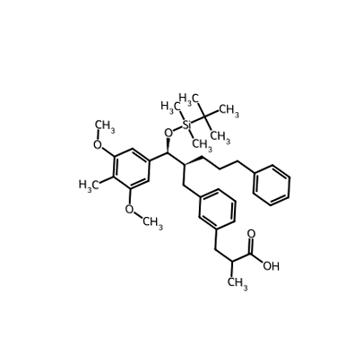 COc1cc([C@@H](O[Si](C)(C)C(C)(C)C)[C@@H](CCCc2ccccc2)Cc2cccc(CC(C)C(=O)O)c2)cc(OC)c1C